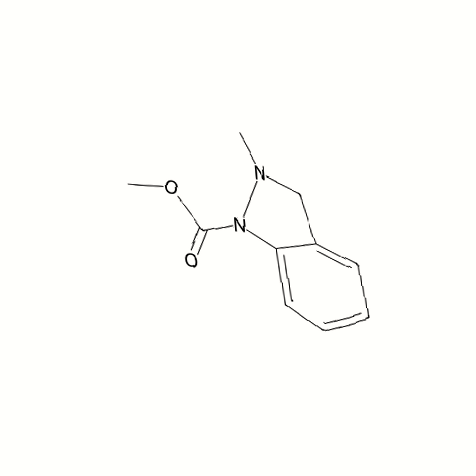 COC(=O)N1c2ccccc2CN1C